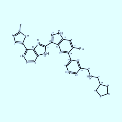 Cc1ccc(-c2nccc3[nH]c(-c4n[nH]c5cc(F)c(-c6cncc(CNCC7CCCC7)c6)cc45)nc23)s1